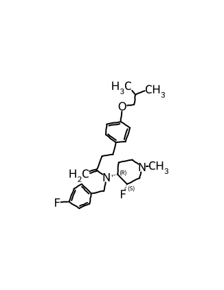 C=C(CCc1ccc(OCC(C)C)cc1)N(Cc1ccc(F)cc1)[C@@H]1CCN(C)C[C@@H]1F